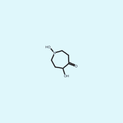 O=C1CCN(O)CCC1O